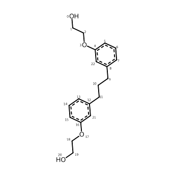 OCCOc1cccc(CCCc2cccc(OCCO)c2)c1